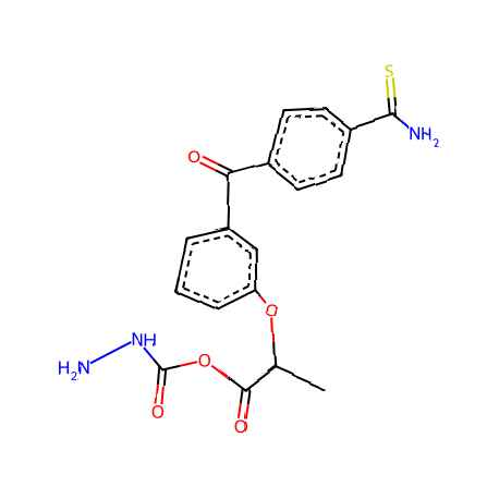 CC(Oc1cccc(C(=O)c2ccc(C(N)=S)cc2)c1)C(=O)OC(=O)NN